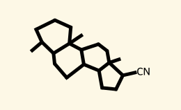 CC1CCCC2(C)C1CCC1C3CCC(C#N)C3(C)CCC12